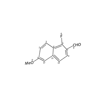 COc1ccc2c(F)c(C=O)ccc2c1